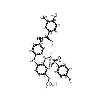 O=C(O)Cc1ccc(Oc2ccc(NC(=O)c3ccc(Cl)c(Cl)c3)cc2)c(CNS(=O)(=O)c2ccc(F)cc2)c1